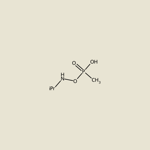 CC(C)NOP(C)(=O)O